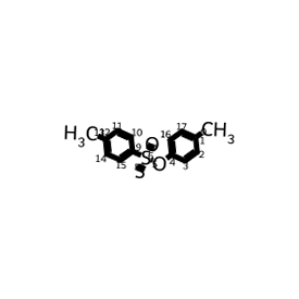 Cc1ccc(OS(=O)(=S)c2ccc(C)cc2)cc1